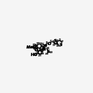 C#C/C=C\c1sc(COCCC[C@@]23CC[C@](C)(OC)[C@@H]4Oc5c(O)ccc6c5[C@@]42CCN(CC2CC2)[C@@H]3C6)cc1C